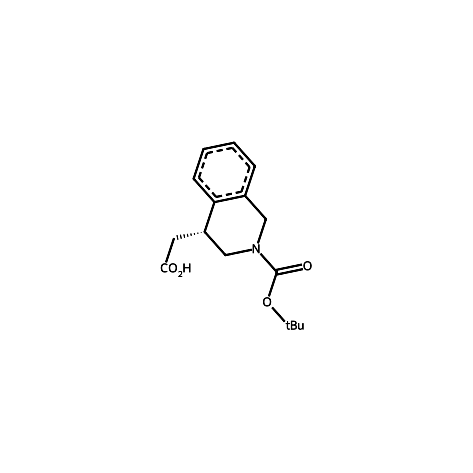 CC(C)(C)OC(=O)N1Cc2ccccc2[C@@H](CC(=O)O)C1